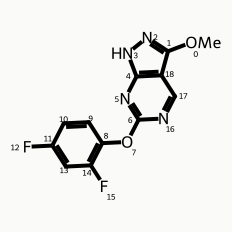 COc1n[nH]c2nc(Oc3ccc(F)cc3F)ncc12